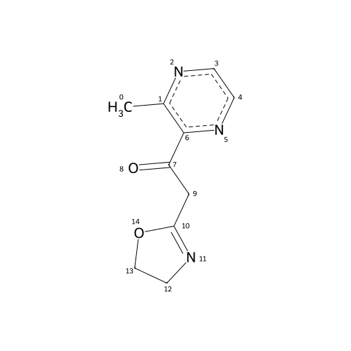 Cc1nccnc1C(=O)CC1=NCCO1